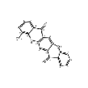 O=c1c2ccccc2oc2cc3c(=O)c4cccc(Cl)c4oc3cc12